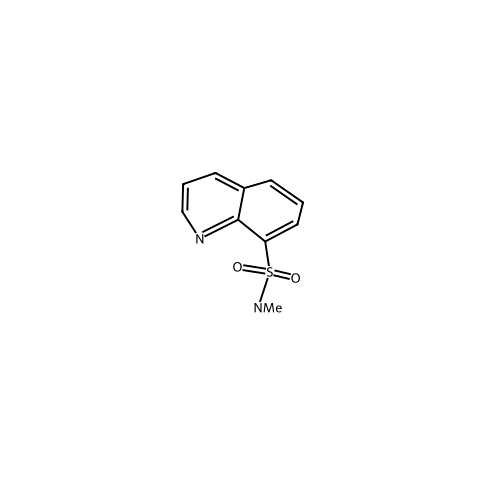 [CH2]NS(=O)(=O)c1cccc2cccnc12